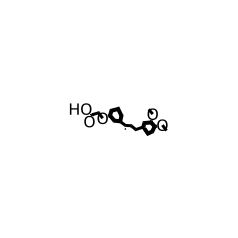 COc1ccc(CC[CH]c2cccc(OCC(=O)O)c2)cc1OC